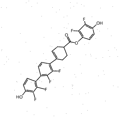 O=C(Oc1ccc(O)c(F)c1F)C1CC=C(c2ccc(-c3ccc(O)c(F)c3F)c(F)c2F)CC1